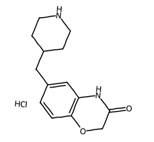 Cl.O=C1COc2ccc(CC3CCNCC3)cc2N1